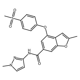 Cc1cc2c(Oc3ccc(S(C)(=O)=O)cc3)cc(C(=O)Nc3ccn(C)n3)cc2o1